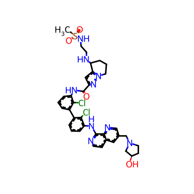 CS(=O)(=O)NCCNC1CCCn2nc(C(=O)Nc3cccc(-c4cccc(Nc5nccc6cc(CN7CC[C@@H](O)C7)cnc56)c4Cl)c3Cl)cc21